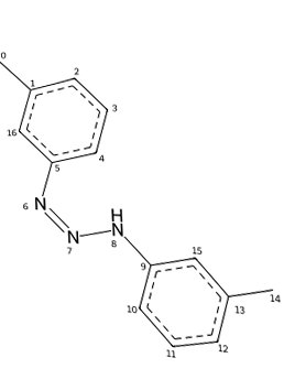 Cc1cccc(/N=N\Nc2cccc(C)c2)c1